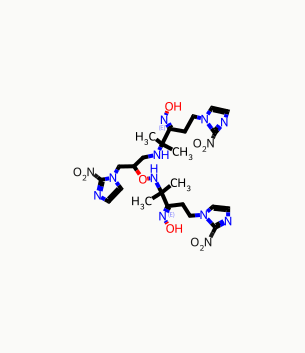 CC(C)(NCC(Cn1ccnc1[N+](=O)[O-])ONC(C)(C)/C(CCn1ccnc1[N+](=O)[O-])=N/O)/C(CCn1ccnc1[N+](=O)[O-])=N/O